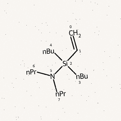 C=C[Si](CCCC)(CCCC)N(CCC)CCC